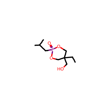 CCC1(CO)COP(=O)(CC(C)C)OC1